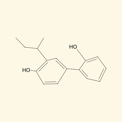 CCC(C)c1cc(-c2ccccc2O)ccc1O